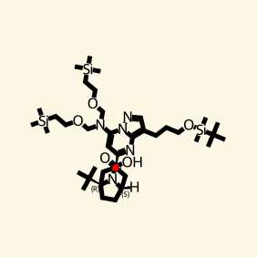 CC(C)(C)[C@@]12CC[C@@H](C[C@H](c3cc(N(COCC[Si](C)(C)C)COCC[Si](C)(C)C)n4ncc(CCCO[Si](C)(C)C(C)(C)C)c4n3)C1)N2C(=O)O